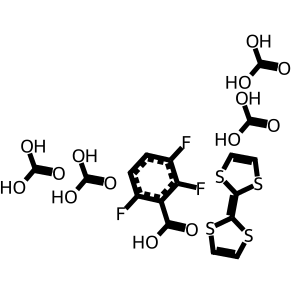 C1=CSC(=C2SC=CS2)S1.O=C(O)O.O=C(O)O.O=C(O)O.O=C(O)O.O=C(O)c1c(F)ccc(F)c1F